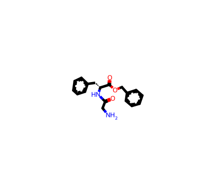 NCC(=O)N[C@H](Cc1ccccc1)C(=O)OCc1ccccc1